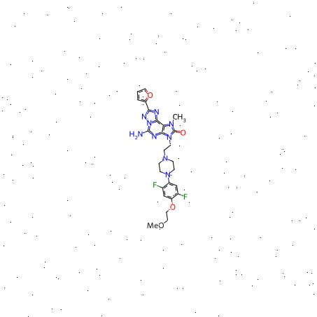 COCCOc1cc(F)c(N2CCN(CCn3c(=O)n(C)c4c3nc(N)n3nc(-c5ccco5)nc43)CC2)cc1F